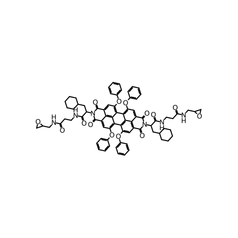 O=C(CCNC(=O)C(CC1CCCCC1)N1C(=O)c2cc(Oc3ccccc3)c3c4c(Oc5ccccc5)cc5c6c(cc(Oc7ccccc7)c(c7c(Oc8ccccc8)cc(c2c37)C1=O)c64)C(=O)N(C(CC1CCCCC1)C(=O)NCCC(=O)NCC1CO1)C5=O)NCC1CO1